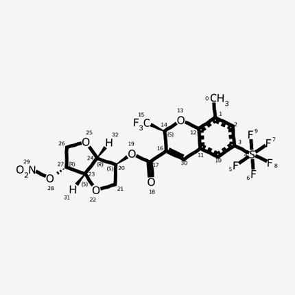 Cc1cc(S(F)(F)(F)(F)F)cc2c1O[C@H](C(F)(F)F)C(C(=O)O[C@H]1CO[C@H]3[C@@H]1OC[C@H]3O[N+](=O)[O-])=C2